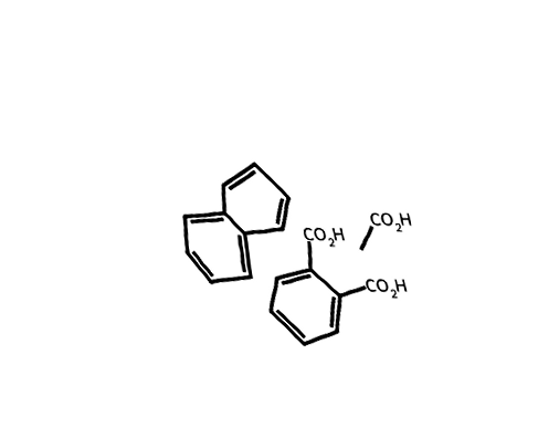 CC(=O)O.O=C(O)c1ccccc1C(=O)O.c1ccc2ccccc2c1